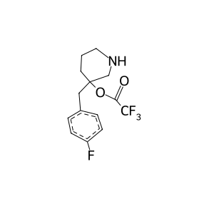 O=C(OC1(Cc2ccc(F)cc2)CCCNC1)C(F)(F)F